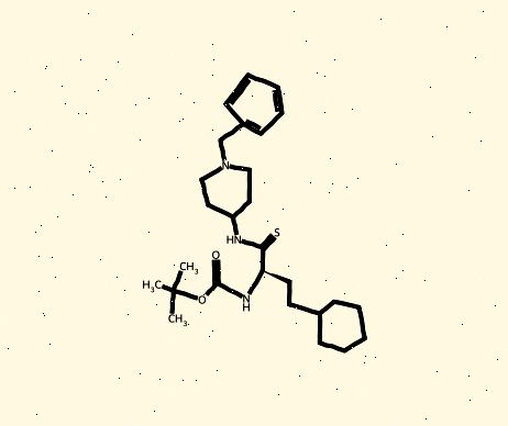 CC(C)(C)OC(=O)N[C@H](CCC1CCCCC1)C(=S)NC1CCN(Cc2ccccc2)CC1